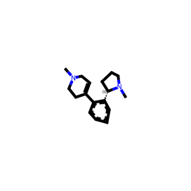 CN1CC=C(c2ccccc2[C@@H]2CCCN2C)CC1